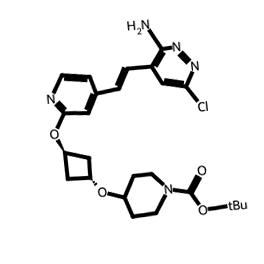 CC(C)(C)OC(=O)N1CCC(O[C@H]2C[C@H](Oc3cc(/C=C/c4cc(Cl)nnc4N)ccn3)C2)CC1